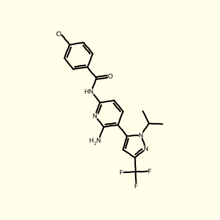 CC(C)n1nc(C(F)(F)F)cc1-c1ccc(NC(=O)c2ccc(Cl)cc2)nc1N